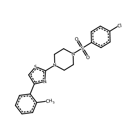 Cc1ccccc1-c1csc(N2CCN(S(=O)(=O)c3ccc(Cl)cc3)CC2)n1